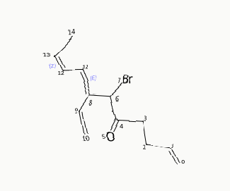 C=CCCC(=O)C(Br)/C(C=C)=C/C=C\C